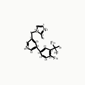 Cc1nccn1Cc1cncc(-c2ccc(F)c(C(C)(F)F)c2)c1